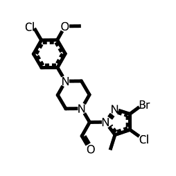 COc1cc(N2CCN(C(C=O)n3nc(Br)c(Cl)c3C)CC2)ccc1Cl